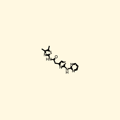 Cc1nc(NC(=O)Cc2csc(Nc3ncccn3)n2)sc1C